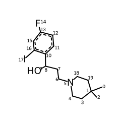 CC1(C)CCN(CCC(O)c2ccc(F)cc2I)CC1